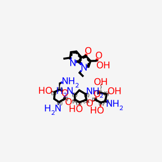 CCn1cc(C(=O)O)c(=O)c2ccc(C)nc21.NC[C@H]1O[C@H](O[C@H]2[C@H](O)[C@@H](O[C@H]3O[C@H](CO)[C@@H](O)[C@H](N)[C@H]3O)[C@H](N)C[C@@H]2N)[C@H](N)C[C@@H]1O